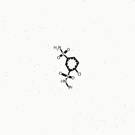 CC(C)NS(=O)(=O)c1cc(S(N)(=O)=O)ccc1Cl